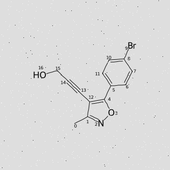 Cc1noc(-c2ccc(Br)cc2)c1C#CCO